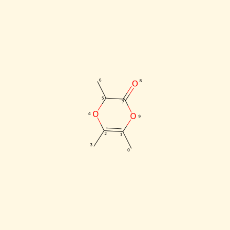 CC1=C(C)OC(C)C(=O)O1